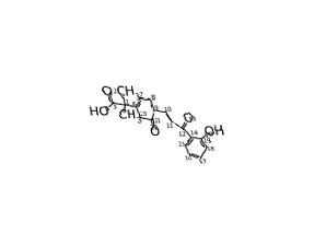 CC(C)(C(=O)O)C1=CC=C(C=CC(=O)c2ccccc2O)C(=O)C1